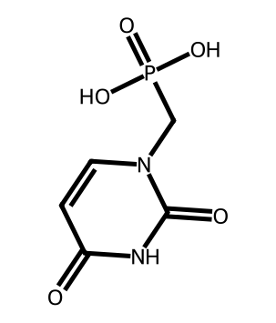 O=c1ccn(CP(=O)(O)O)c(=O)[nH]1